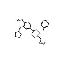 COc1ccc(N2CCN(CC(=O)O)[C@@H](Cc3ccccc3)C2)cc1OC1CCCC1